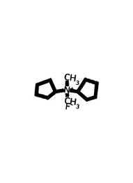 C[N+](C)(C1CCCC1)C1CCCC1.[F-]